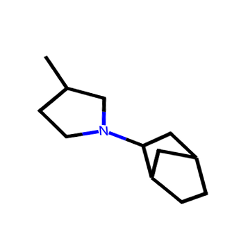 CC1CCN(C2CC3CCC2C3)C1